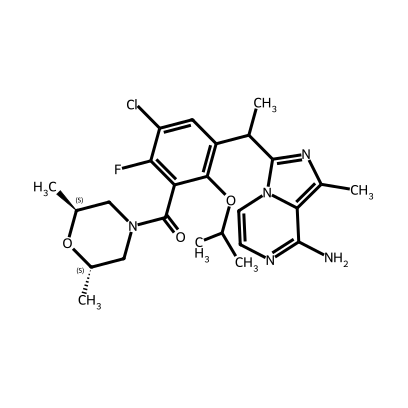 Cc1nc(C(C)c2cc(Cl)c(F)c(C(=O)N3C[C@H](C)O[C@@H](C)C3)c2OC(C)C)n2ccnc(N)c12